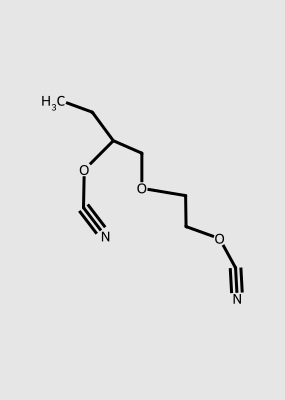 CCC(COCCOC#N)OC#N